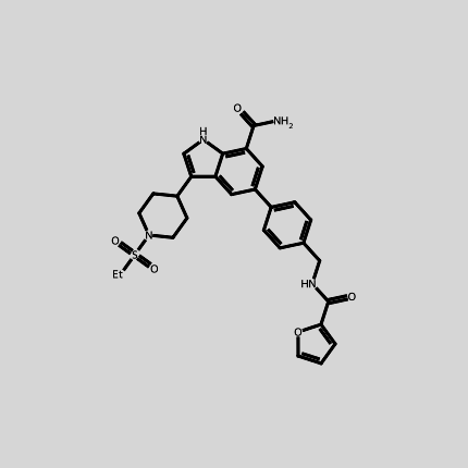 CCS(=O)(=O)N1CCC(c2c[nH]c3c(C(N)=O)cc(-c4ccc(CNC(=O)c5ccco5)cc4)cc23)CC1